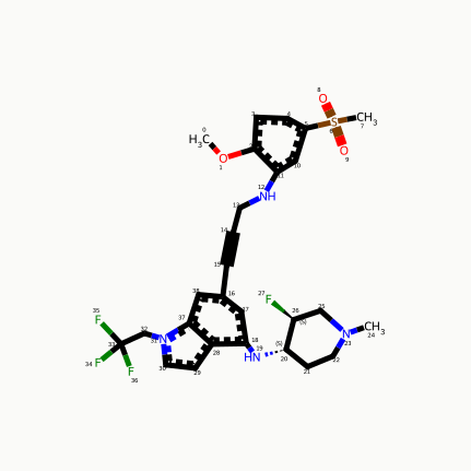 COc1ccc(S(C)(=O)=O)cc1NCC#Cc1cc(N[C@H]2CCN(C)C[C@@H]2F)c2ccn(CC(F)(F)F)c2c1